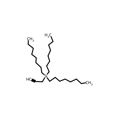 C#CC[Si](CCCCCCCC)(CCCCCCCC)CCCCCCCC